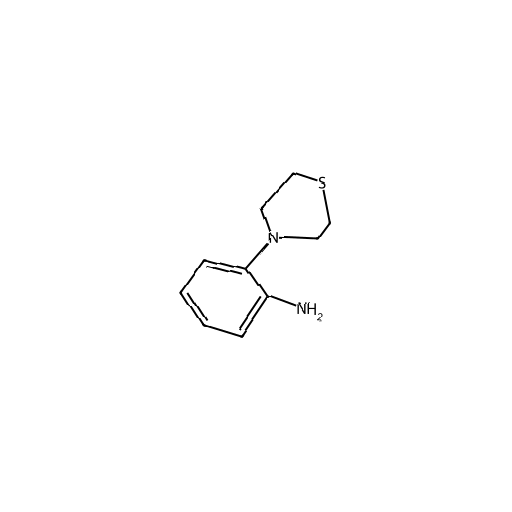 Nc1ccccc1N1CCSCC1